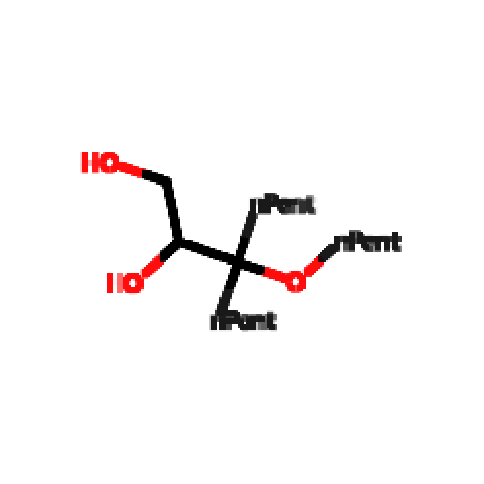 CCCCCOC(CCCCC)(CCCCC)C(O)CO